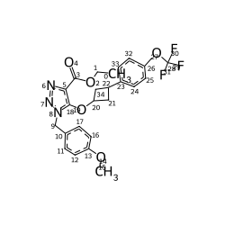 CCOC(=O)c1nnn(Cc2ccc(OC)cc2)c1OC1CC(c2ccc(OC(F)(F)F)cc2)C1